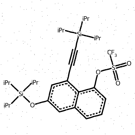 CC(C)[Si](C#Cc1cc(O[Si](C(C)C)(C(C)C)C(C)C)cc2cccc(OS(=O)(=O)C(F)(F)F)c12)(C(C)C)C(C)C